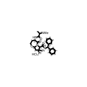 CNC(C)C(=O)N[C@H]1CCOC2CC(C(C)C)(C(C)C)C(C(=O)NC(c3ccccc3)c3ccccc3)N2C1=O.Cl